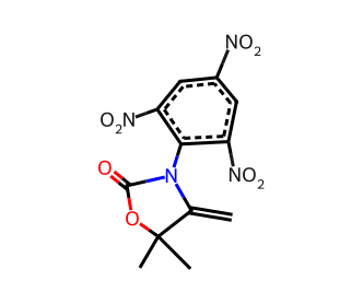 C=C1N(c2c([N+](=O)[O-])cc([N+](=O)[O-])cc2[N+](=O)[O-])C(=O)OC1(C)C